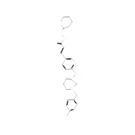 O=C(/C=C/c1ccc(N[C@@H]2CCCN(Cc3ccc(Cl)cc3)C2)nc1)NOC1CCCCO1